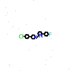 Fc1ccc(-c2cccc(CN3CC=C(c4ccc(Cl)cc4)CC3)n2)cc1